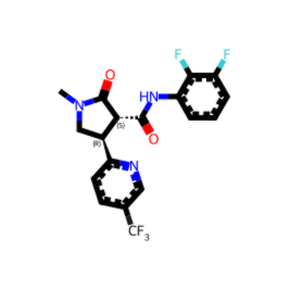 CN1C[C@H](c2ccc(C(F)(F)F)cn2)[C@@H](C(=O)Nc2cccc(F)c2F)C1=O